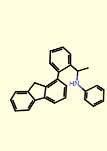 CC(Nc1ccccc1)c1ccccc1-c1cccc2c1Cc1ccccc1-2